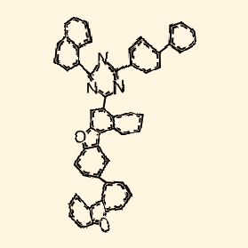 c1ccc(-c2ccc(-c3nc(-c4cccc5ccccc45)nc(-c4cc5oc6ccc(-c7cccc8oc9ccccc9c78)cc6c5c5ccccc45)n3)cc2)cc1